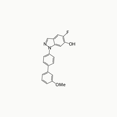 COc1cccc(-c2ccc(-n3ncc4cc(F)c(O)cc43)cc2)c1